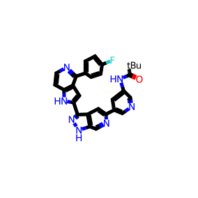 CC(C)(C)C(=O)Nc1cncc(-c2cc3c(-c4cc5c(-c6ccc(F)cc6)nccc5[nH]4)n[nH]c3cn2)c1